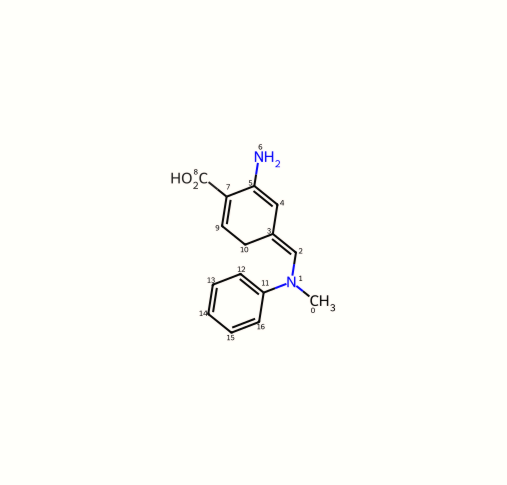 CN(C=C1C=C(N)C(C(=O)O)=CC1)c1ccccc1